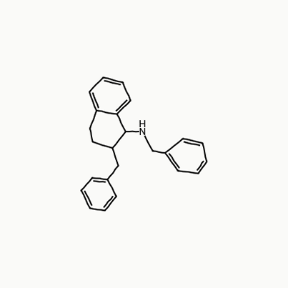 c1ccc(CNC2c3ccccc3CCC2Cc2ccccc2)cc1